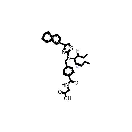 CC/C=C\C(C(F)CC)N(Cc1ccc(C(=O)NCC(=O)O)cc1)c1nc(-c2ccc3ccccc3c2)cs1